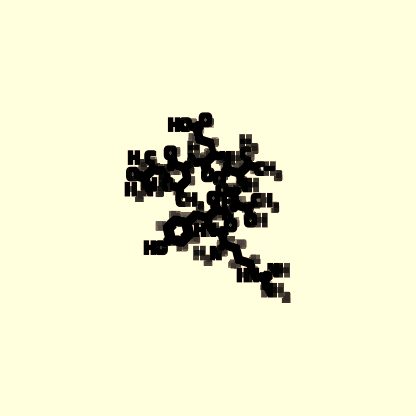 CC(C)CC(NC(=O)[C@@H](CCC(=O)O)NC(=O)C(NC(=O)C(NC(=O)C(Cc1ccc(O)cc1)NC(=O)[C@H](N)CCCNC(=N)N)[C@@H](C)O)C(C)C)C(=O)N[C@H](C)C(N)=O